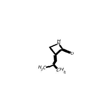 CC(C)=C1CNC1=O